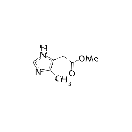 COC(=O)Cc1[nH]cnc1C